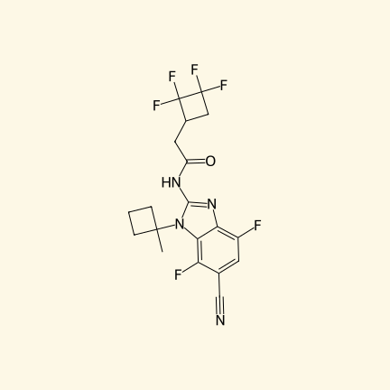 CC1(n2c(NC(=O)CC3CC(F)(F)C3(F)F)nc3c(F)cc(C#N)c(F)c32)CCC1